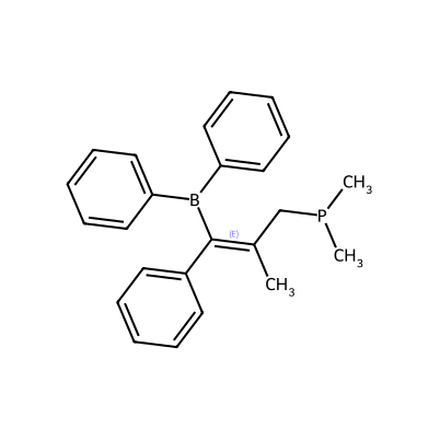 C/C(CP(C)C)=C(/B(c1ccccc1)c1ccccc1)c1ccccc1